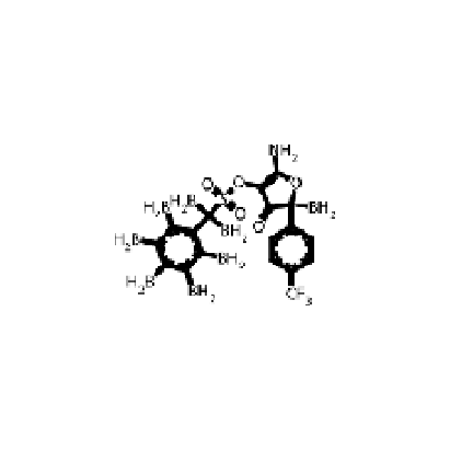 Bc1c(B)c(B)c(C(B)(B)S(=O)(=O)OC2=C(N)O[C@](B)(c3ccc(C(F)(F)F)cc3)C2=O)c(B)c1B